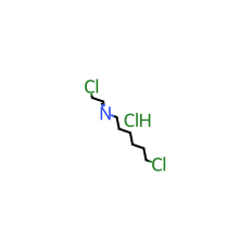 Cl.ClCC=NCCCCCCCl